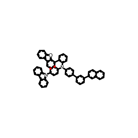 c1cc(-c2ccc(N(c3ccc(-n4c5ccccc5c5ccccc54)cc3)c3ccccc3-c3cccc4c3oc3ccccc34)cc2)cc(-c2ccc3ccccc3c2)c1